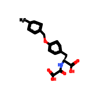 Cc1ccc(COc2ccc(C[C@@H](NC(=O)C(=O)O)C(=O)O)cc2)cc1